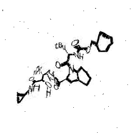 CCC[C@H](NC(=O)[C@@H]1CC2CCCCC2N1C(=O)[C@@H](NC(=O)OCc1ccccc1)C(C)(C)C)C(O)C(=O)NC1CC1